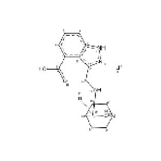 O=C([O-])c1cccc2[nH]nc(CN[C@H]3CN4CCC3CC4)c12.[Li+]